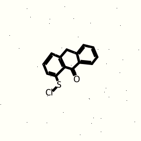 O=C1c2ccccc2Cc2cccc(SCl)c21